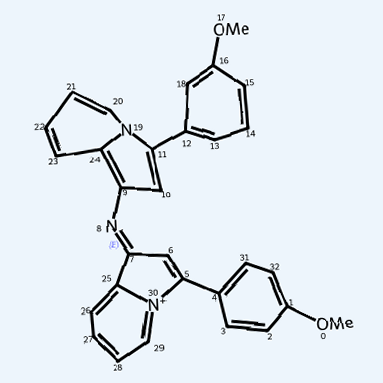 COc1ccc(C2=C/C(=N\c3cc(-c4cccc(OC)c4)n4ccccc34)c3cccc[n+]32)cc1